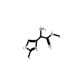 COC(=O)C(N)c1csc(C)n1